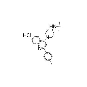 Cc1ccc(-c2cc(N3CCC(NC(C)(C)C)CC3)c3ccccc3n2)cc1.Cl